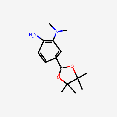 CN(C)c1cc(B2OC(C)(C)C(C)(C)O2)ccc1N